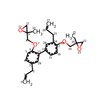 C=CCc1ccc(OCC2(C)CO2)c(-c2ccc(OCC3(C)CO3)c(CC=C)c2)c1